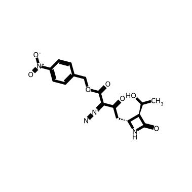 CC(O)[C@H]1C(=O)N[C@@H]1CC(=O)C(=[N+]=[N-])C(=O)OCc1ccc([N+](=O)[O-])cc1